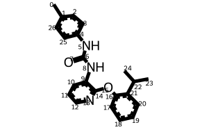 Cc1ccc(NC(=O)Nc2cccnc2Oc2ccccc2C(C)C)cc1